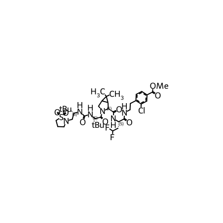 COC(=O)c1ccc(CCNC(=O)[C@H](CC(F)F)NC(=O)[C@@H]2C3C(CN2C(=O)[C@@H](NC(=O)N[C@H](CN2CCCS2(=O)=O)C(C)(C)C)C(C)(C)C)C3(C)C)c(Cl)c1